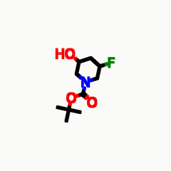 CC(C)(C)OC(=O)N1CC(O)CC(F)C1